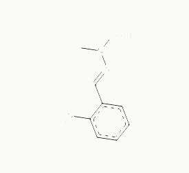 CN(N=Cc1ccccc1[N+](=O)[O-])C(=O)O